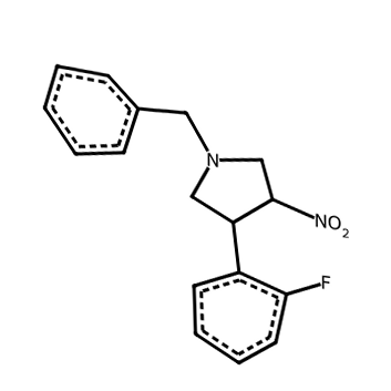 O=[N+]([O-])C1CN(Cc2ccccc2)CC1c1ccccc1F